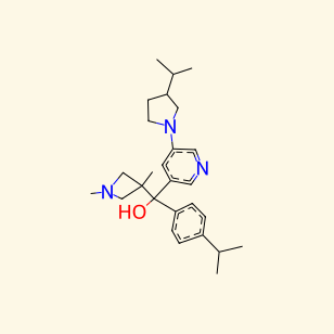 CC(C)c1ccc(C(O)(c2cncc(N3CCC(C(C)C)C3)c2)C2(C)CN(C)C2)cc1